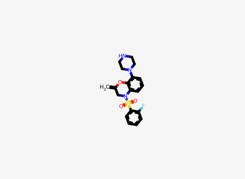 C=C1CN(S(=O)(=O)c2ccccc2F)c2cccc(N3CCNCC3)c2O1